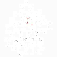 c1ccc(-c2ccccc2N2c3cc([Si](c4ccccc4)(c4ccccc4)c4ccccc4)cc4c3B(n3c2nc2ccccc23)n2c(nc3ccccc32)N4c2ccccc2-c2ccccc2)cc1